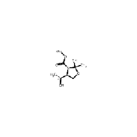 C[C@@H](O)C1COC(C)(C)N1C(=O)OC(C)(C)C